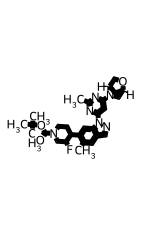 Cc1nc(N2C[C@H]3C[C@@H]2CO3)cc(-n2ncc3cc(C)c(C4CCN(C(=O)OC(C)(C)C)CC4F)cc32)n1